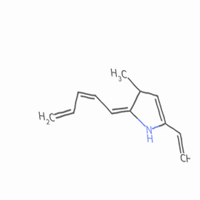 C=C/C=C\C=C1\NC(C=C)=CC1C